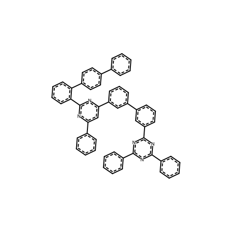 c1ccc(-c2ccc(-c3ccccc3-c3nc(-c4ccccc4)cc(-c4cccc(-c5cccc(-c6nc(-c7ccccc7)nc(-c7ccccc7)n6)c5)c4)n3)cc2)cc1